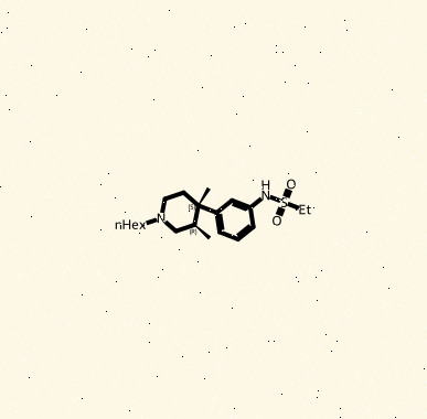 CCCCCCN1CC[C@](C)(c2cccc(NS(=O)(=O)CC)c2)[C@@H](C)C1